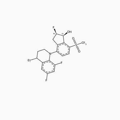 CCC1CCN(c2ccc(S(=O)(=O)C(F)(F)F)c3c2C[C@@H](F)[C@H]3O)c2c(F)cc(F)cc21